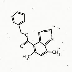 Cc1cc(C)c2ncccc2c1C(=O)OCc1ccccc1